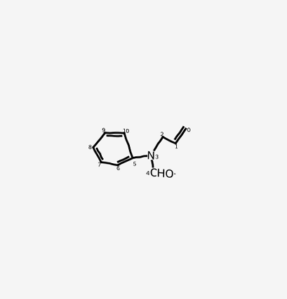 C=CCN([C]=O)c1ccccc1